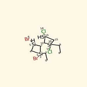 CC[Si]1(Br)C[SiH](Br)C1.CC[Si]1(Cl)C[SiH](Cl)C1